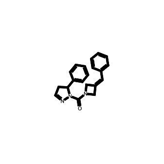 O=C(N1CC(=Cc2ccccc2)C1)N1N=CCC1c1ccccc1